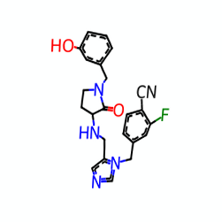 N#Cc1ccc(Cn2cncc2CNC2CCN(Cc3cccc(O)c3)C2=O)cc1F